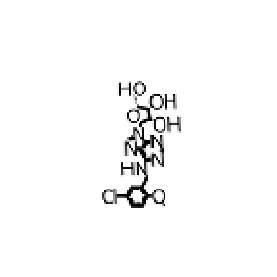 COc1ccc(Cl)cc1CNc1ncnc2c1ncn2C1O[C@H](CO)[C@@H](O)[C@H]1O